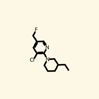 CCC1CCCN(c2ncc(CF)cc2Cl)C1